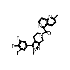 Cc1ccc2c(C(=O)N3CCc4c(nn(C)c4-c4cc(F)c(F)c(F)c4)C3)nccc2n1